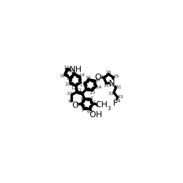 Cc1cc2c(cc1O)OCCC(c1ccc3[nH]ccc3c1)=C2c1ccc(O[C@H]2CCN(CCCF)C2)cc1